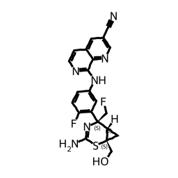 N#Cc1cnc2c(Nc3ccc(F)c([C@@]4(CF)N=C(N)S[C@@]5(CO)C[C@H]54)c3)nccc2c1